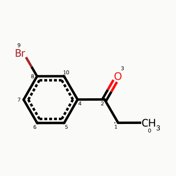 C[CH]C(=O)c1cccc(Br)c1